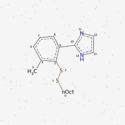 CCCCCCCCSSc1c(C)cccc1-c1ncc[nH]1